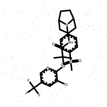 CC(C)(Oc1ncc(C(F)(F)F)cc1Cl)C(=O)NC1CC2CCC(C1)N2c1ccc(S(C)(=O)=O)cc1